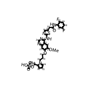 COc1cc2c(Nc3ncc(CC(=O)Nc4cc(F)ccc4F)s3)ncnc2cc1OCCCn1cccc1COP(=O)(O)O